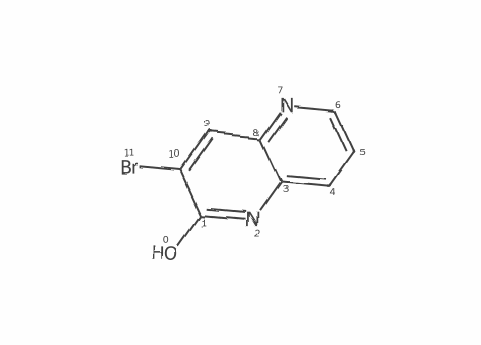 Oc1nc2cccnc2cc1Br